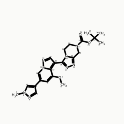 COc1cc(-c2cnn(C)c2)cn2ncc(-c3nnc4n3CCN(C(=O)OC(C)(C)C)C4)c12